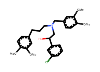 COc1ccc(C[CH]CN(Cc2ccc(OC)c(OC)c2)CC(O)c2cccc(Cl)c2)cc1OC